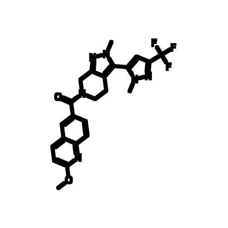 COc1ccc2cc(C(=O)N3CCc4c(nn(C)c4-c4cc(C(F)(F)F)nn4C)C3)ccc2n1